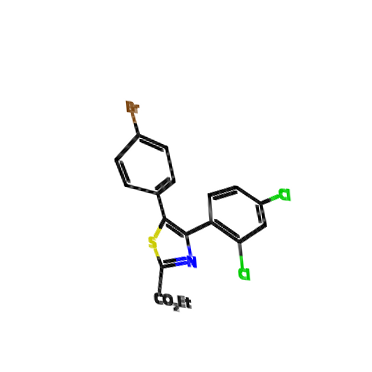 CCOC(=O)c1nc(-c2ccc(Cl)cc2Cl)c(-c2ccc(Br)cc2)s1